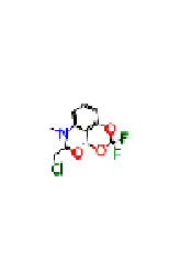 CN(C(=O)CCl)c1cccc2c1[CH]OC(F)(F)O2